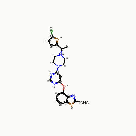 CC(=O)Nc1nc2c(Oc3cc(N4CCN(C(C)c5ccc(Br)s5)CC4)ncn3)cccc2s1